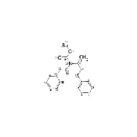 CC(CSc1ccccc1)N(OCc1ccccc1)C(=O)OC(C)(C)C